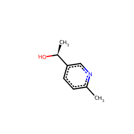 Cc1ccc([C@H](C)O)cn1